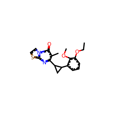 CCOc1cccc(C2CC2c2nc3sccn3c(=O)c2C)c1OC